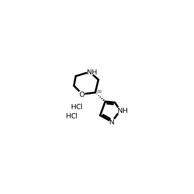 Cl.Cl.c1n[nH]cc1[C@H]1CNCCO1